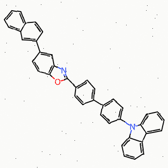 c1ccc2cc(-c3ccc4oc(-c5ccc(-c6ccc(-n7c8ccccc8c8ccccc87)cc6)cc5)nc4c3)ccc2c1